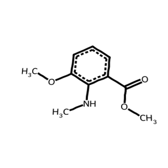 CNc1c(OC)cccc1C(=O)OC